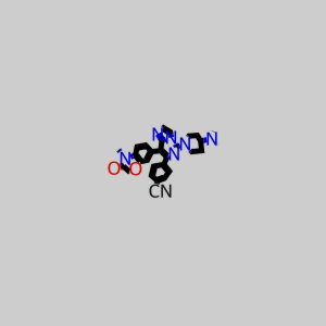 CN1C(=O)COc2cc(-c3c(-c4ccc(C#N)cc4)nc(N4CCC(N(C)C)CC4)n4ccnc34)ccc21